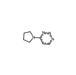 c1cc(N2CCCC2)nnn1